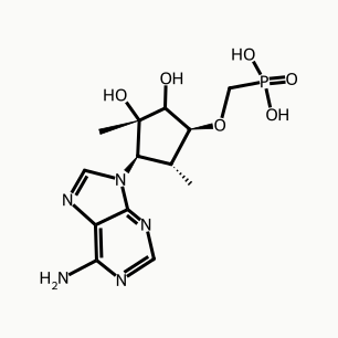 C[C@H]1[C@H](OCP(=O)(O)O)C(O)[C@@](C)(O)[C@@H]1n1cnc2c(N)ncnc21